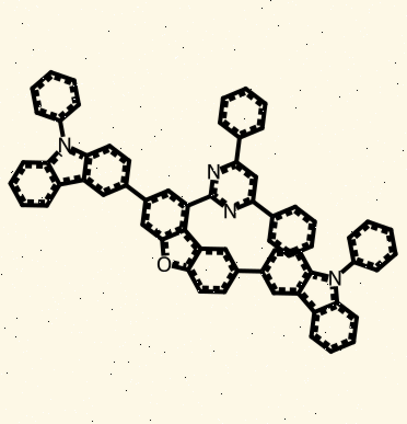 c1ccc(-c2cc(-c3ccccc3)nc(-c3cc(-c4ccc5c(c4)c4ccccc4n5-c4ccccc4)cc4oc5ccc(-c6ccc7c(c6)c6ccccc6n7-c6ccccc6)cc5c34)n2)cc1